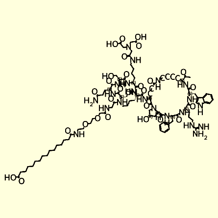 CCCC[C@H](NC(=O)[C@H](CCCCNC(=O)CN(CC(=O)O)CC(=O)O)NC(=O)[C@H](CO)NC(=O)[C@H](CCC(N)=O)NC(=O)[C@H](CO)NC(=O)CNC(=O)COCCOCCNC(=O)CCCCCCCCCCCCCCC(=O)O)C(=O)N[C@H]1CCC(=O)NCCCC[C@@H](C(C)=O)NC(=O)[C@H](Cc2c[nH]c3ccccc23)NC(=O)[C@H](CCCNC(=N)N)NC(=O)[C@@H](Cc2ccccc2)NC(=O)[C@@H]2C[C@@H](O)CN2C1=O